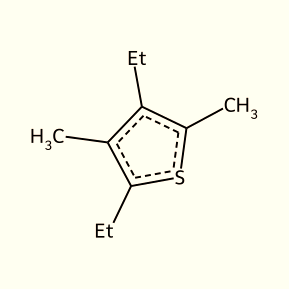 CCc1sc(C)c(CC)c1C